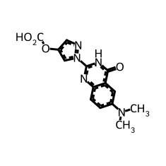 CN(C)c1ccc2nc(-n3cc(OC(=O)O)cn3)[nH]c(=O)c2c1